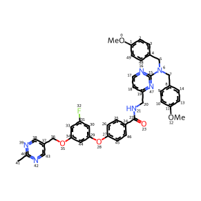 COc1ccc(CN(Cc2ccc(OC)cc2)c2nccc(CNC(=O)c3ccc(Oc4cc(F)cc(OCc5cnc(C)nc5)c4)cc3)n2)cc1